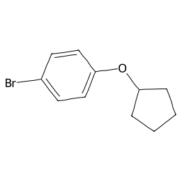 Brc1ccc(OC2CCCC2)cc1